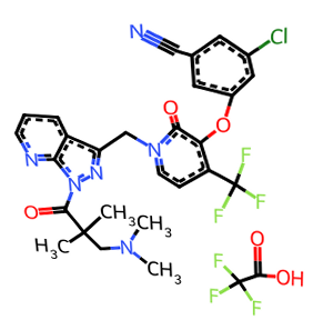 CN(C)CC(C)(C)C(=O)n1nc(Cn2ccc(C(F)(F)F)c(Oc3cc(Cl)cc(C#N)c3)c2=O)c2cccnc21.O=C(O)C(F)(F)F